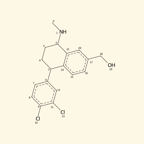 CNC1CCC(c2ccc(Cl)c(Cl)c2)c2ccc(CO)cc21